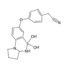 N#CCc1ccc(Oc2ccc3c(c2)S(O)(O)NC2CCCN32)cc1